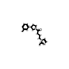 Cc1cccc([C@H]2CCN(C(=O)CCCn3ccnc3C)C2)c1